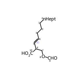 CCCCCCCCCC/C=C/C(COC=O)C(=O)O